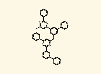 Cc1cc(-c2cc(Cc3cc(-c4ccccc4)nc(-c4cccc(-c5ccccc5)c4)n3)cc(-c3ccccc3)c2)nc(-c2ccccc2)n1